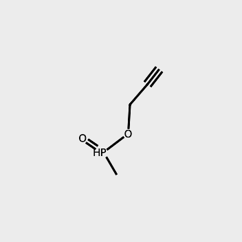 C#CCO[PH](C)=O